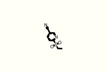 CCS(=O)(=O)c1ccc(C#N)cn1